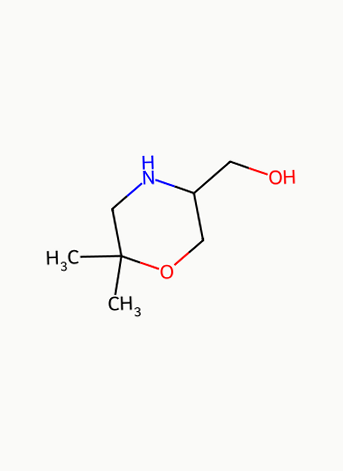 CC1(C)CNC(CO)CO1